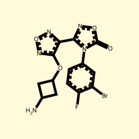 NC1CC(Oc2nonc2-c2noc(=O)n2-c2ccc(F)c(Br)c2)C1